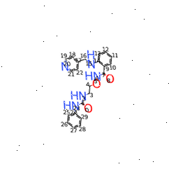 O=C(NCCONC(=O)c1ccccc1NCc1ccncc1)Nc1ccccc1